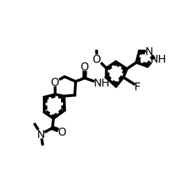 COc1cc(-c2cn[nH]c2)c(F)cc1NC(=O)C1COc2ccc(C(=O)N(C)C)cc2C1